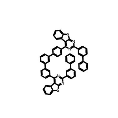 c1ccc(-c2cccc(-c3nc(-c4ccc(-c5cccc(-c6cccc(-c7nc(-c8cccc(-c9ccccc9)c8)nc8sc9ccccc9c78)c6)c5)cc4)c4c(n3)sc3ccccc34)c2)cc1